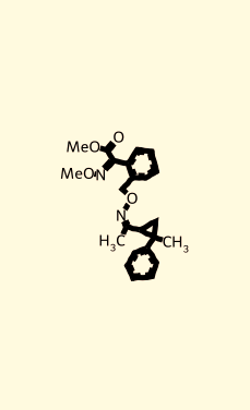 CON=C(C(=O)OC)c1ccccc1CON=C(C)C1CC1(C)c1ccccc1